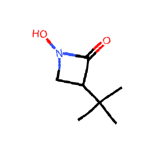 CC(C)(C)C1CN(O)C1=O